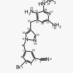 N#Cc1cc(Br)cc(Cn2cc(Cc3cc(N)nc(NN)c3N)cn2)c1